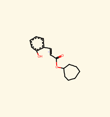 O=C(/C=C/c1ccccc1O)OC1CCCCCC1